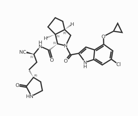 N#C[C@H](CC[C@@H]1CCNC1=O)NC(=O)[C@@H]1[C@H]2CCC[C@H]2CN1C(=O)c1cc2c(OC3CC3)cc(Cl)cc2[nH]1